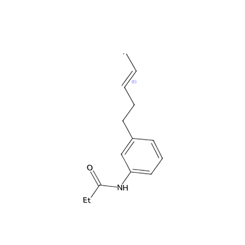 [CH2]/C=C/CCc1cccc(NC(=O)CC)c1